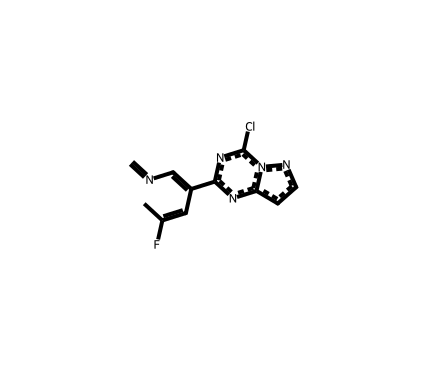 C=N/C=C(\C=C(/C)F)c1nc(Cl)n2nccc2n1